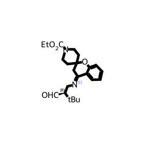 CCOC(=O)N1CCC2(CC1)C/C(=N\C[C@H](C=O)C(C)(C)C)c1ccccc1O2